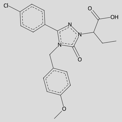 CCC(C(=O)O)n1nc(-c2ccc(Cl)cc2)n(Cc2ccc(OC)cc2)c1=O